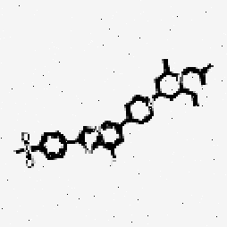 CCC1CC(N2CCC(c3cc(F)c4nc(-c5ccc(S(C)(=O)=O)cc5)cn4c3)CC2)CC(C)N1CC(C)C